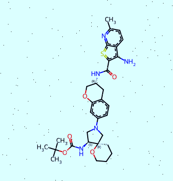 Cc1ccc2c(N)c(C(=O)N[C@H]3COc4cc(N5C[C@H](NC(=O)OC(C)(C)C)[C@@]6(CCCCO6)C5)ccc4C3)sc2n1